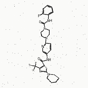 O=C(Nc1ccc(N2CCN(C(=O)Nc3ccccc3F)CC2)nc1)c1sc(N2CCCCC2)nc1C(F)(F)F